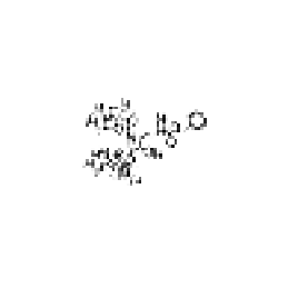 CC(C)(C)OC(=O)N1CC(O[Si](C)(C)C(C)(C)C)C(O)C1CCNC(=O)OCc1ccccc1